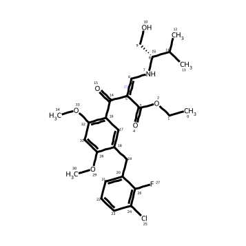 CCOC(=O)/C(=C\N[C@H](CO)C(C)C)C(=O)c1cc(Cc2cccc(Cl)c2F)c(OC)cc1OC